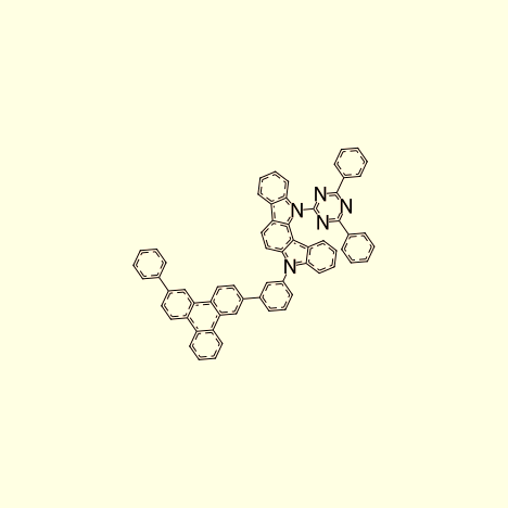 c1ccc(-c2ccc3c4ccccc4c4cc(-c5cccc(-n6c7ccccc7c7c6ccc6c8ccccc8n(-c8nc(-c9ccccc9)nc(-c9ccccc9)n8)c67)c5)ccc4c3c2)cc1